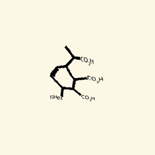 CCCCCCC1C=CC(C(C)C(=O)O)C(C(=O)O)C1C(=O)O